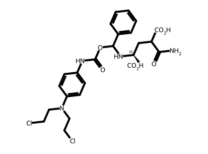 NC(=O)C(C[C@H](NC(OC(=O)Nc1ccc(N(CCCl)CCCl)cc1)c1ccccc1)C(=O)O)C(=O)O